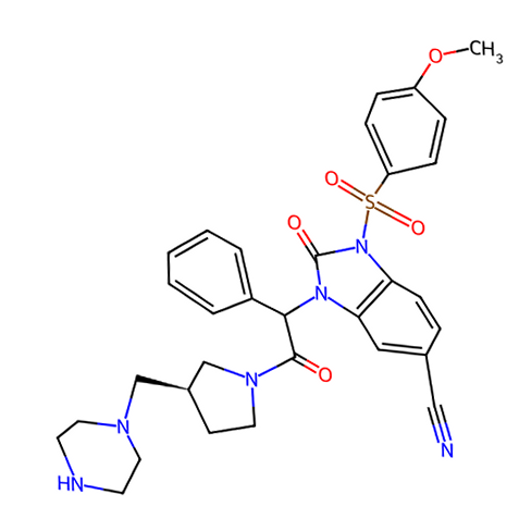 COc1ccc(S(=O)(=O)n2c(=O)n(C(C(=O)N3CC[C@@H](CN4CCNCC4)C3)c3ccccc3)c3cc(C#N)ccc32)cc1